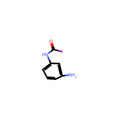 Nc1cccc(NC(=O)I)c1